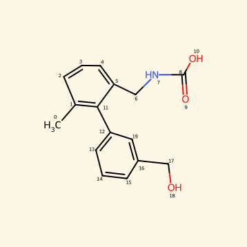 Cc1cccc(CNC(=O)O)c1-c1cccc(CO)c1